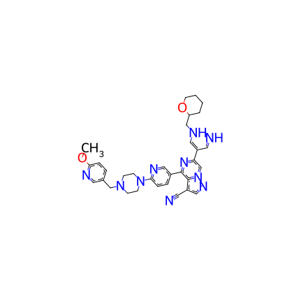 COc1ccc(CN2CCN(c3ccc(-c4nc(/C(C=N)=C/NCC5CCCCO5)cn5ncc(C#N)c45)cn3)CC2)cn1